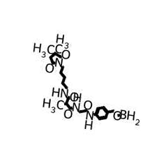 BOCc1ccc(NC(=O)CNC(=O)C(C)C(=O)NCCCCCN2C(=O)CC(C)(C)C2=O)cc1